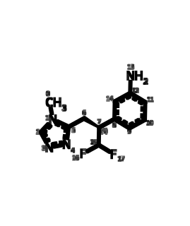 Cn1cnnc1C[C@@H](c1cccc(N)c1)C(F)F